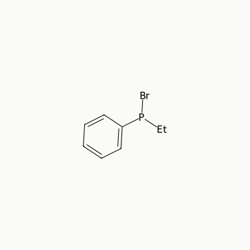 [CH2]CP(Br)c1ccccc1